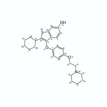 Oc1ccc2c(Oc3ccc(OCCN4CCCCC4)cc3)c(C3CCCCC3)sc2c1